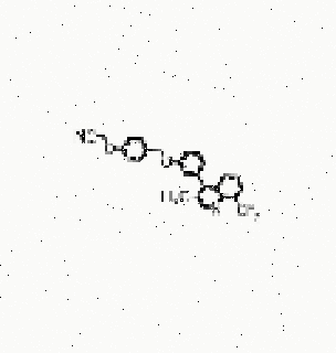 Cc1cnc2c(C(F)(F)F)cccc2c1-c1cccc(OCc2ccc(OCC#N)cc2)c1